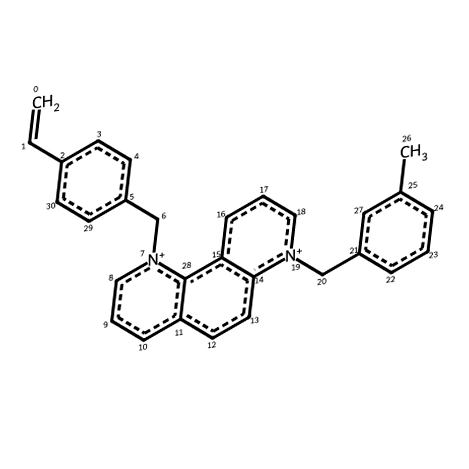 C=Cc1ccc(C[n+]2cccc3ccc4c(ccc[n+]4Cc4cccc(C)c4)c32)cc1